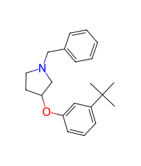 CC(C)(C)c1cccc(OC2CCN(Cc3ccccc3)C2)c1